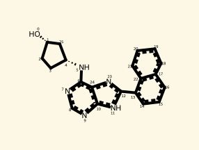 O[C@H]1[CH]C[C@@H](Nc2ncnc3[nH]c(-c4cccc5ccccc45)nc23)C1